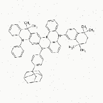 CC1(C)CCC(C)(C)c2cc(N3c4ccccc4B4c5cc6c(cc5N(c5ccc(C78CC9CC(CC(C9)C7)C8)cc5)c5cccc3c54)N(c3ccccc3)c3ccccc3C6(C)C)ccc21